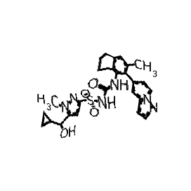 Cc1cc2c(c(NC(=O)NS(=O)(=O)c3cc(C(O)C4CC4)n(C)n3)c1-c1ccn3nccc3c1)CCC2